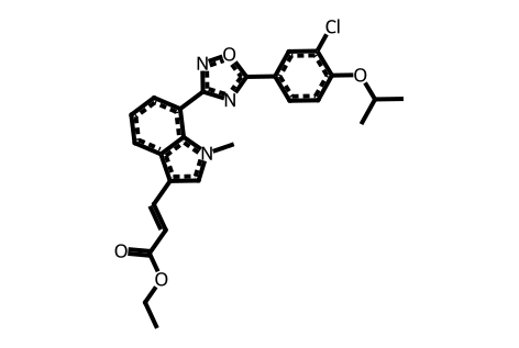 CCOC(=O)C=Cc1cn(C)c2c(-c3noc(-c4ccc(OC(C)C)c(Cl)c4)n3)cccc12